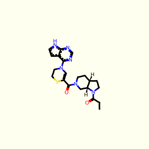 CCC(=O)N1CC[C@H]2CCN(C(=O)C3=CN(c4ncnc5[nH]ccc45)CCS3)C[C@H]21